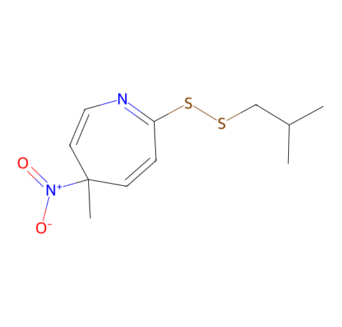 CC(C)CSSC1=NC=CC(C)([N+](=O)[O-])C=C1